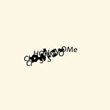 CC=NN(C(=S)N1CCN(CC(=O)OC)CC1)c1csc(-c2ccc(Cl)c(Cl)c2)c1O